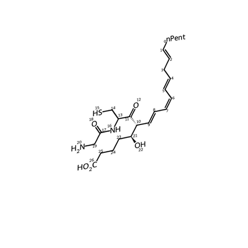 CCCCCC=CCC=C/C=C\C=C\[C@@H](C(=O)C(CS)NC(=O)CN)[C@@H](O)CCCC(=O)O